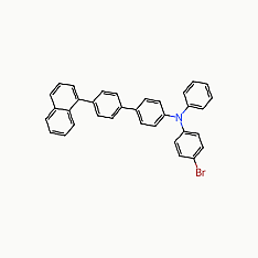 Brc1ccc(N(c2ccccc2)c2ccc(-c3ccc(-c4cccc5ccccc45)cc3)cc2)cc1